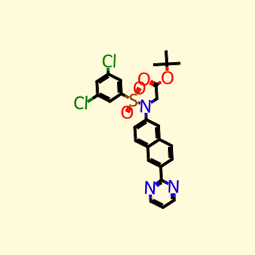 CC(C)(C)OC(=O)CN(c1ccc2cc(-c3ncccn3)ccc2c1)S(=O)(=O)c1cc(Cl)cc(Cl)c1